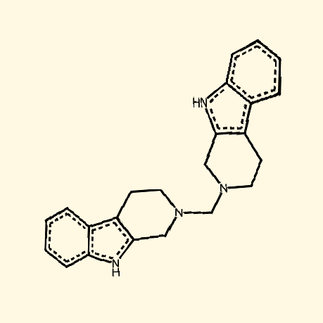 c1ccc2c3c([nH]c2c1)CN(CN1CCc2c([nH]c4ccccc24)C1)CC3